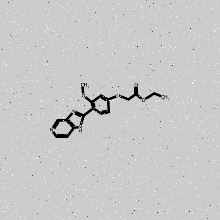 CCOC(=O)COc1ccc(-c2nc3cnccc3[nH]2)c(OC)c1